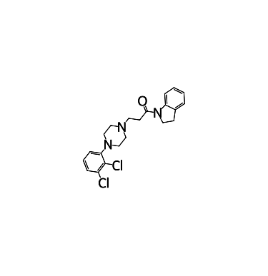 O=C(CCN1CCN(c2cccc(Cl)c2Cl)CC1)N1CCc2ccccc21